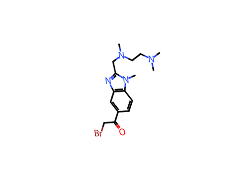 CN(C)CCN(C)Cc1nc2cc(C(=O)CBr)ccc2n1C